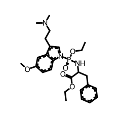 CCOC(=O)C(Cc1ccccc1)NP(=O)(OCC)n1cc(CCN(C)C)c2cc(OC)ccc21